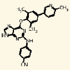 Cc1ccc(-c2cc(C)c(Oc3nc(Nc4ccc(C#N)cc4)nc4[nH]cnc34)c(C)c2)cn1